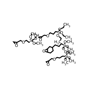 CCO[Si](CCCOCC1CO1)(OCC)OCC.CO[Si](CCCC1CCC2OC2C1)(OC)OC.CO[Si](CCCOCC1CO1)(OC)OC.CO[Si](CCOCC1CO1)(OC)OC